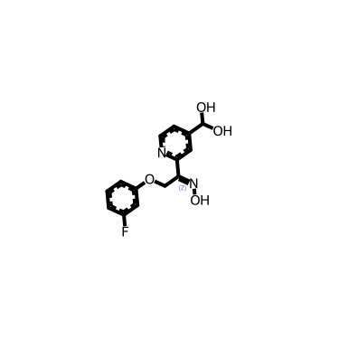 O/N=C(\COc1cccc(F)c1)c1cc(C(O)O)ccn1